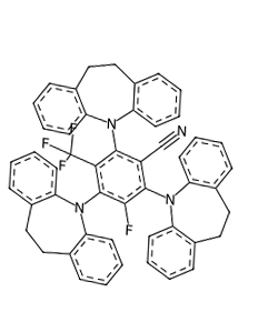 N#Cc1c(N2c3ccccc3CCc3ccccc32)c(F)c(N2c3ccccc3CCc3ccccc32)c(C(F)(F)F)c1N1c2ccccc2CCc2ccccc21